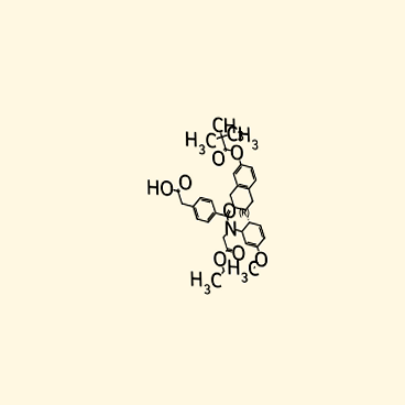 CCOC(=O)CN(C(=O)c1ccc(CC(=O)O)cc1)C1C=C(OC)C=CC1[C@@H]1CCc2cc(OC(=O)C(C)(C)C)ccc2C1